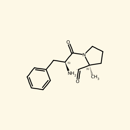 C[C@@]1([C]=O)CCCN1C(=O)[C@@H](N)Cc1ccccc1